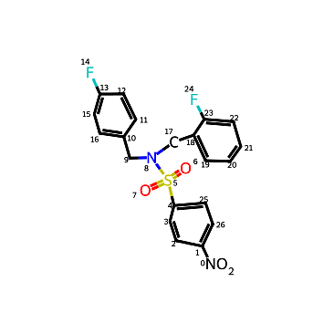 O=[N+]([O-])c1ccc(S(=O)(=O)N(Cc2ccc(F)cc2)Cc2ccccc2F)cc1